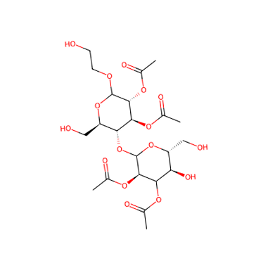 CC(=O)OC1[C@@H](OC(C)=O)C(O[C@H]2[C@H](OC(C)=O)[C@@H](OC(C)=O)C(OCCO)O[C@@H]2CO)O[C@H](CO)[C@H]1O